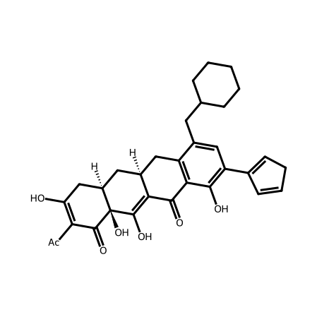 CC(=O)C1=C(O)C[C@H]2C[C@H]3Cc4c(CC5CCCCC5)cc(C5=CCC=C5)c(O)c4C(=O)C3=C(O)[C@]2(O)C1=O